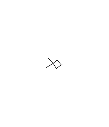 CC1(C)C[CH]C1